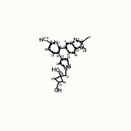 Cc1nc2cc(-c3nc(C#N)ccc3-c3cnn(CC4(O)CC(O)C4)c3)ccc2n1C